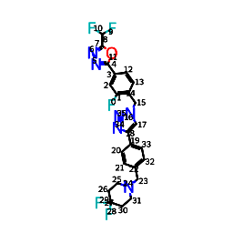 Fc1cc(-c2nnc(C(F)F)o2)ccc1Cn1cc(-c2ccc(CN3CCC(F)(F)CC3)cc2)nn1